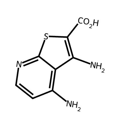 Nc1ccnc2sc(C(=O)O)c(N)c12